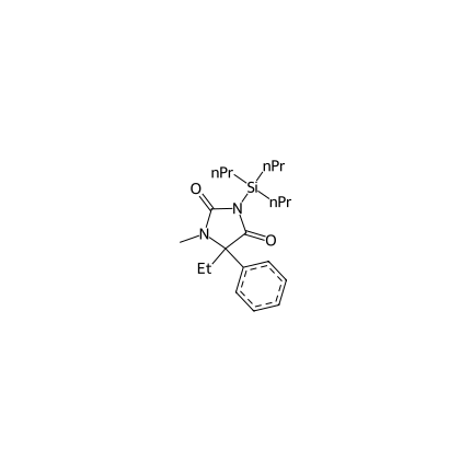 CCC[Si](CCC)(CCC)N1C(=O)N(C)C(CC)(c2ccccc2)C1=O